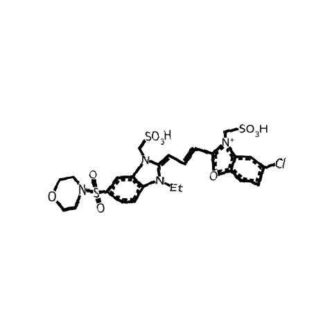 CCN1C(=CC=Cc2oc3ccc(Cl)cc3[n+]2CS(=O)(=O)O)N(CS(=O)(=O)O)c2cc(S(=O)(=O)N3CCOCC3)ccc21